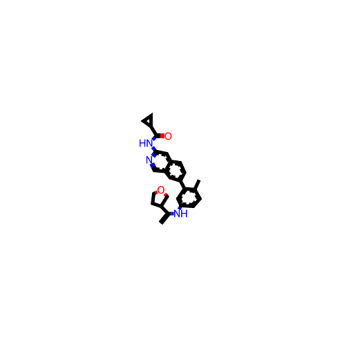 C=C(Nc1ccc(C)c(-c2ccc3cc(NC(=O)C4CC4)ncc3c2)c1)C1CCOC1